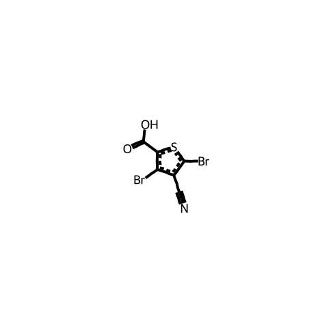 N#Cc1c(Br)sc(C(=O)O)c1Br